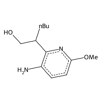 CCCCC(CO)c1nc(OC)ccc1N